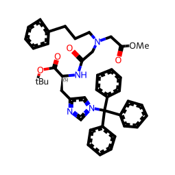 COC(=O)CN(CCCc1ccccc1)CC(=O)N[C@@H](Cc1cn(C(c2ccccc2)(c2ccccc2)c2ccccc2)cn1)C(=O)OC(C)(C)C